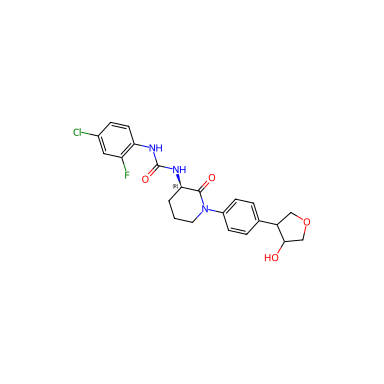 O=C(Nc1ccc(Cl)cc1F)N[C@@H]1CCCN(c2ccc(C3COCC3O)cc2)C1=O